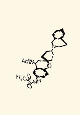 CC(=O)NC1CC2(CCC(N3CCc4ccccc4C3)CC2)Oc2ccc(NS(C)(=O)=O)cc21